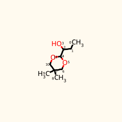 CCC(O)C1OCC(C)(C)CO1